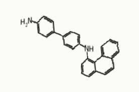 Nc1ccc(-c2ccc(Nc3cccc4ccc5ccccc5c34)cc2)cc1